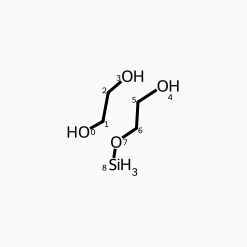 OCCO.OCCO[SiH3]